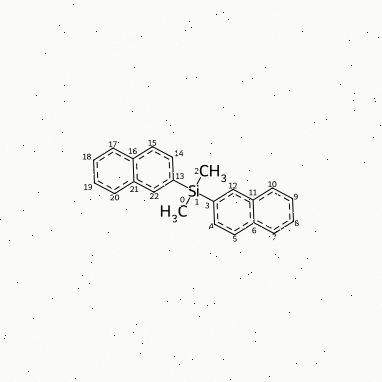 C[Si](C)(c1ccc2ccccc2c1)c1ccc2ccccc2c1